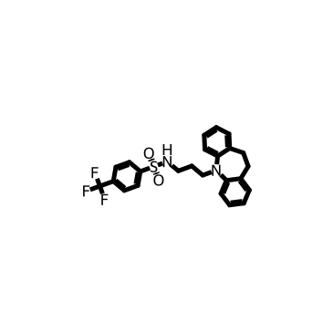 O=S(=O)(NCCCN1c2ccccc2CCc2ccccc21)c1ccc(C(F)(F)F)cc1